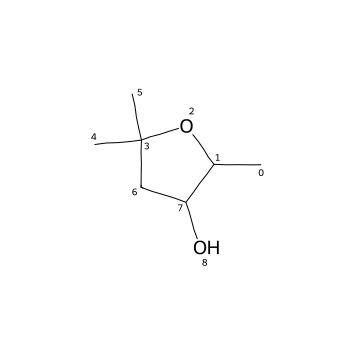 CC1OC(C)(C)CC1O